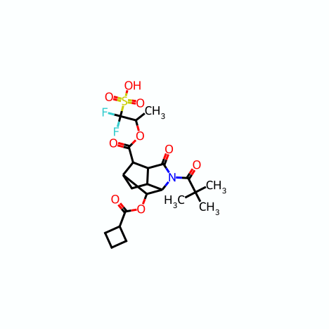 CC(OC(=O)C1C2CC3C1C(=O)N(C(=O)C(C)(C)C)C3C2OC(=O)C1CCC1)C(F)(F)S(=O)(=O)O